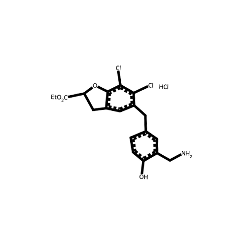 CCOC(=O)C1Cc2cc(Cc3ccc(O)c(CN)c3)c(Cl)c(Cl)c2O1.Cl